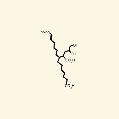 CCCCCCCCCC=CCCCCC(CCCCCCC(=O)O)C(CC(O)CO)C(=O)O